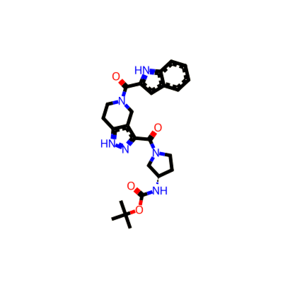 CC(C)(C)OC(=O)N[C@H]1CCN(C(=O)c2n[nH]c3c2CN(C(=O)c2cc4ccccc4[nH]2)CC3)C1